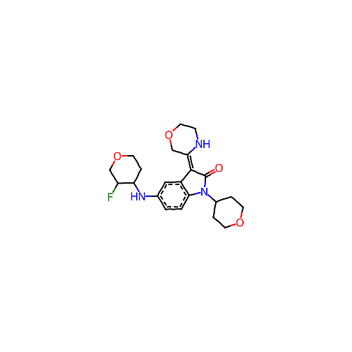 O=C1/C(=C2/COCCN2)c2cc(NC3CCOCC3F)ccc2N1C1CCOCC1